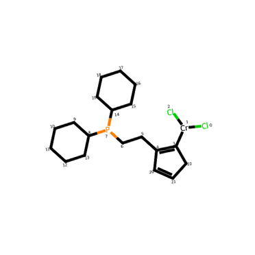 [Cl][Cr]([Cl])[C]1=C(CCP(C2CCCCC2)C2CCCCC2)C=CC1